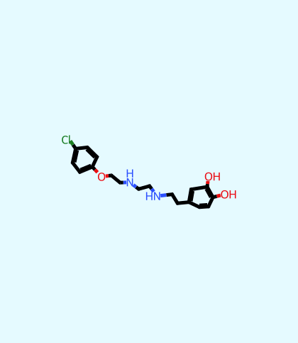 Oc1ccc(CCNCCNCCOc2ccc(Cl)cc2)cc1O